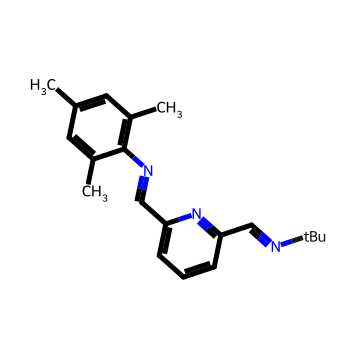 Cc1cc(C)c(/N=C/c2cccc(/C=N/C(C)(C)C)n2)c(C)c1